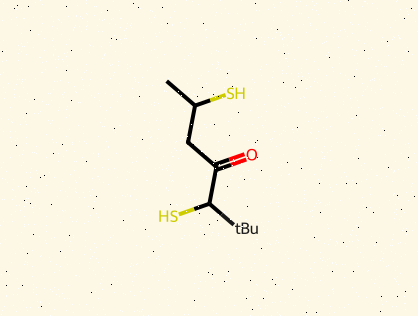 CC(S)CC(=O)C(S)C(C)(C)C